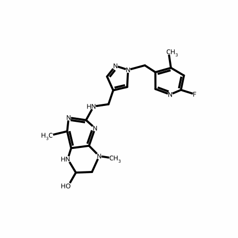 Cc1cc(F)ncc1Cn1cc(CNc2nc(C)c3c(n2)N(C)CC(O)N3)cn1